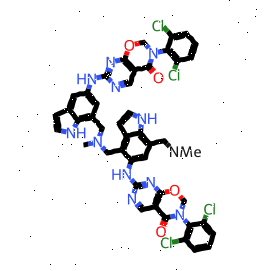 CNCc1cc(Nc2ncc3c(n2)OCN(c2c(Cl)cccc2Cl)C3=O)c(CN(C)Cc2cc(Nc3ncc4c(n3)OCN(c3c(Cl)cccc3Cl)C4=O)cc3cc[nH]c23)c2cc[nH]c12